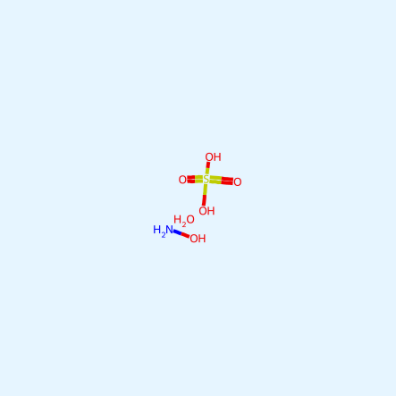 NO.O.O=S(=O)(O)O